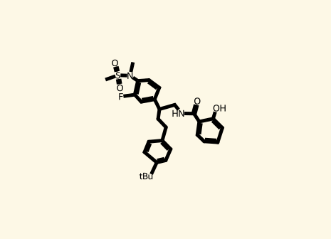 CN(c1ccc(C(CCc2ccc(C(C)(C)C)cc2)CNC(=O)c2ccccc2O)cc1F)S(C)(=O)=O